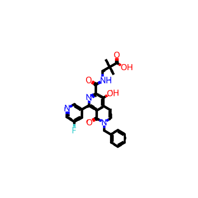 CC(C)(CNC(=O)c1nc(-c2cncc(F)c2)c2c(=O)n(Cc3ccccc3)ccc2c1O)C(=O)O